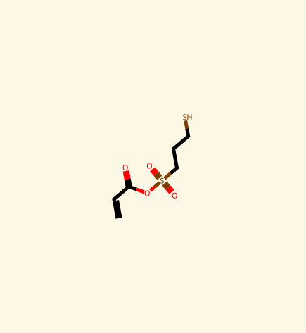 C=CC(=O)OS(=O)(=O)CCCS